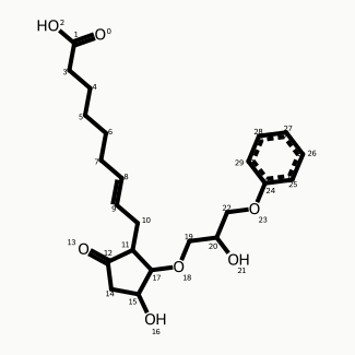 O=C(O)CCCCCC=CCC1C(=O)CC(O)C1OCC(O)COc1ccccc1